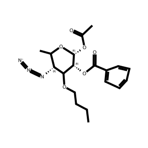 CCCCOC1[C@H](N=[N+]=[N-])C(C)O[C@H](OC(C)=O)[C@@H]1OC(=O)c1ccccc1